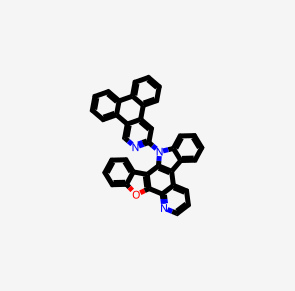 c1ccc2c(c1)oc1c3ncccc3c3c4ccccc4n(-c4cc5c6ccccc6c6ccccc6c5cn4)c3c21